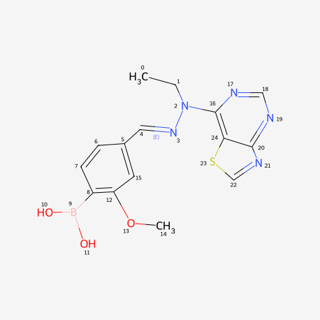 CCN(/N=C/c1ccc(B(O)O)c(OC)c1)c1ncnc2ncsc12